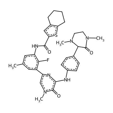 Cc1cc(NC(=O)c2cc3c(s2)CCCC3)c(F)c(-c2cn(C)c(=O)c(Nc3ccc(C4C(=O)N(C)CCN4C)cc3)n2)c1